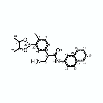 Cc1ccc(C(CN)C(=O)Nc2ccc3cnccc3c2)cc1B1OC(C)C(C)O1